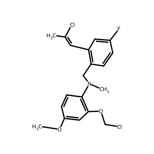 COc1ccc(N(C)Cc2ccc(F)cc2/C=C(/C)Cl)c(OCCl)c1